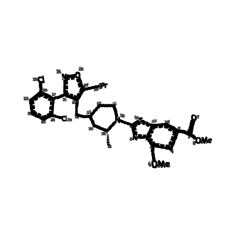 COC(=O)c1cc(OC)c2nc(N3CCC(Cc4c(-c5c(Cl)cccc5Cl)noc4C(C)C)C[C@H]3C)sc2c1